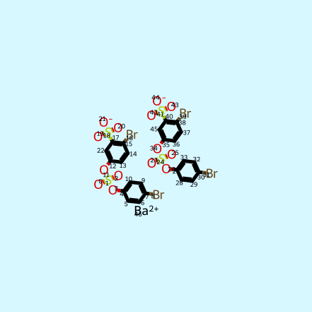 O=S(=O)(Oc1ccc(Br)cc1)Oc1ccc(Br)c(S(=O)(=O)[O-])c1.O=S(=O)(Oc1ccc(Br)cc1)Oc1ccc(Br)c(S(=O)(=O)[O-])c1.[Ba+2]